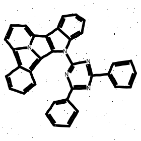 c1ccc(-c2nc(-c3ccccc3)nc(-n3c4ccccc4c4c3c3c5ccccc5c5cccc4n53)n2)cc1